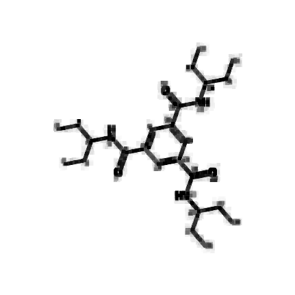 CCC(CC)NC(=O)c1cc(C(=O)NC(CC)CC)cc(C(=O)NC(CC)CC)c1